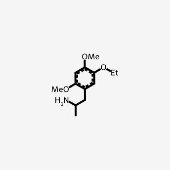 CCOc1cc(CC(C)N)c(OC)cc1OC